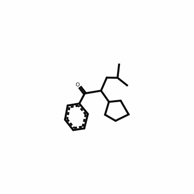 CC(C)CC(C(=O)c1ccccc1)C1CCCC1